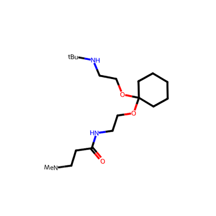 CNCCC(=O)NCCOC1(OCCNC(C)(C)C)CCCCC1